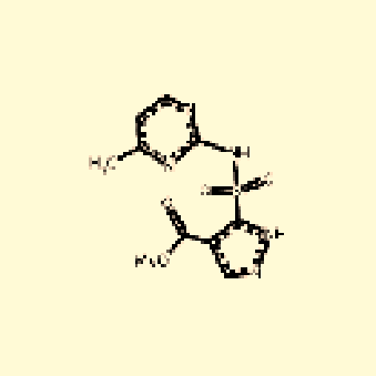 COC(=O)c1cn[nH]c1S(=O)(=O)Nc1nccc(C)n1